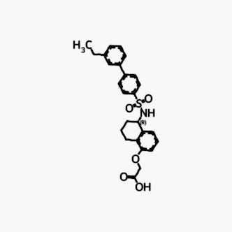 CCc1cccc(-c2ccc(S(=O)(=O)N[C@@H]3CCCc4c(OCC(=O)O)cccc43)cc2)c1